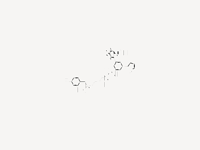 CN(CCCCNC(=O)Nc1cc(-c2cccs2)cc(-c2nnnn2C)c1)Cc1ccc(F)cc1